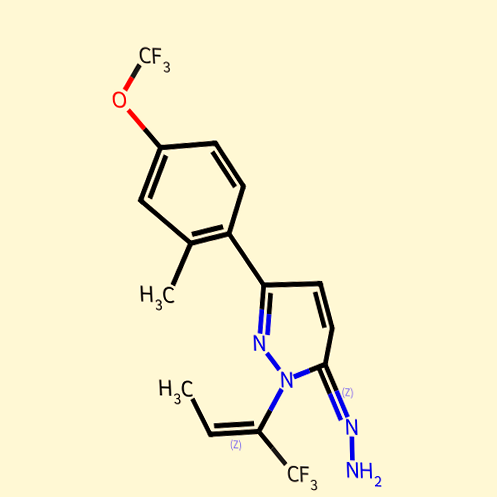 C/C=C(\n1nc(-c2ccc(OC(F)(F)F)cc2C)cc/c1=N/N)C(F)(F)F